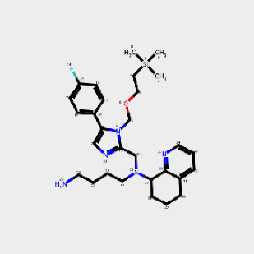 C[Si](C)(C)CCOCn1c(-c2ccc(F)cc2)cnc1CN(CCCCN)C1CCCc2cccnc21